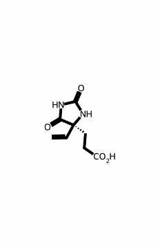 C=C[C@]1(CCC(=O)O)NC(=O)NC1=O